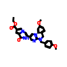 CCOC(=O)c1cc2c(=O)[nH]c(-c3cnc(N(Cc4ccc(OC)cc4)Cc4ccc(OC)cc4)nc3)cn2c1